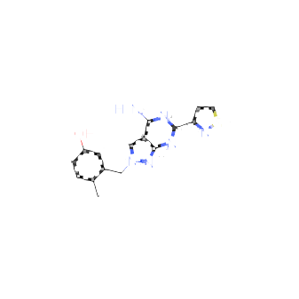 Cc1ccc(O)cc1Cn1cc2c(N)nc(-c3ccsn3)nc2n1